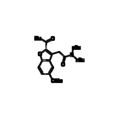 CCCCN(CCCC)C(=O)Cc1c(C(=O)C(C)CC)oc2ccc(OC)cc12